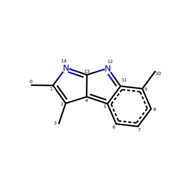 CC1=C(C)C2=c3cccc(C)c3=NC2=N1